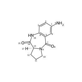 Nc1ccc2c(c1)C(=O)N1CCC[C@H]1C(=O)N2